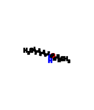 CCCCCCCCNOCCCC